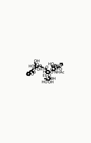 CCC[C@H](OC1C(NC(C)=O)[C@H](O[C@@H]2CC(C(=O)NCCO[C@H]3OC(CO)[C@@H](O)C(OCc4cc5ccccc5oc4=O)C3O)CC(CC)C2O[C@@H]2OC(C)[C@@H](O)C(O)C2O)OC(CO)[C@@H]1O)C(=O)N1CCC1